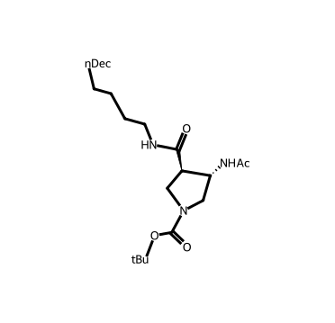 CCCCCCCCCCCCCCNC(=O)[C@@H]1CN(C(=O)OC(C)(C)C)C[C@H]1NC(C)=O